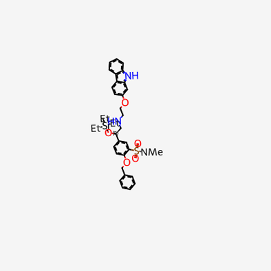 CC[Si](CC)(CC)O[C@@H](CNCCOc1ccc2c(c1)[nH]c1ccccc12)c1ccc(OCc2ccccc2)c(S(=O)(=O)NC)c1